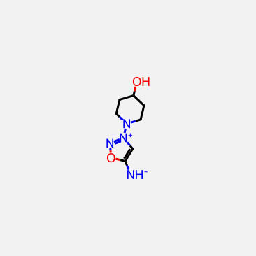 [NH-]c1c[n+](N2CCC(O)CC2)no1